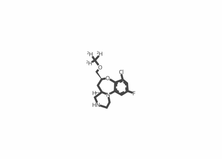 [2H]C([2H])([2H])OC[C@@H]1C[C@@H]2CNCCN2c2cc(F)cc(Cl)c2O1